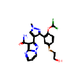 Cn1cc(-c2nn3cccnc3c2C(N)=O)c(-c2cc(SCCO)ccc2OC(F)F)n1